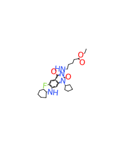 CCOC(=O)CCCCNn1c(=O)c2cc(F)c(NC3CCCCC3)cc2n(C2CCCC2)c1=O